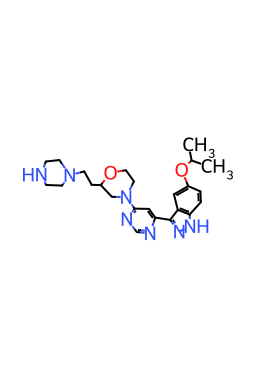 CC(C)Oc1ccc2[nH]nc(-c3cc(N4CCOC(CCN5CCNCC5)C4)ncn3)c2c1